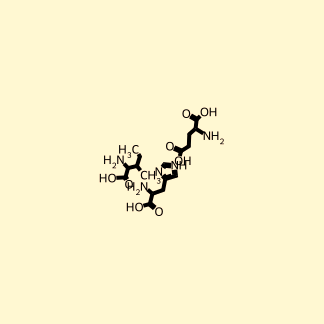 CCC(C)C(N)C(=O)O.NC(CCC(=O)O)C(=O)O.NC(Cc1c[nH]cn1)C(=O)O